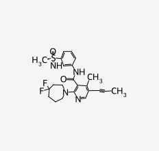 CC#Cc1cnc(N2CCCC(F)(F)CC2)c(C(=O)Nc2cccc([S@](C)(=N)=O)c2)c1C